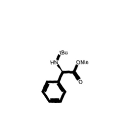 COC(=O)[C@H](NC(C)(C)C)c1ccccc1